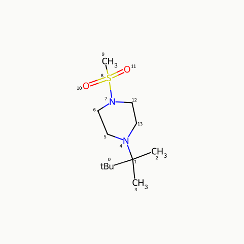 CC(C)(C)C(C)(C)N1CCN(S(C)(=O)=O)CC1